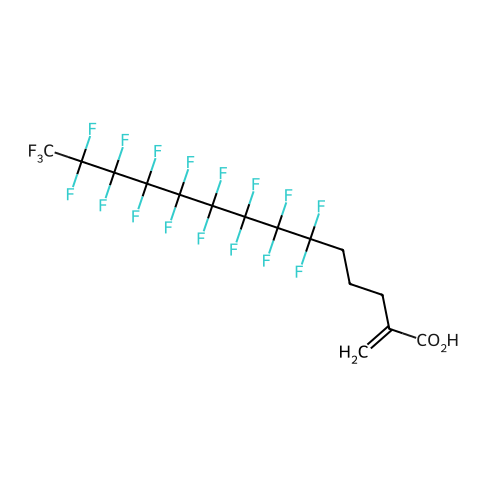 C=C(CCCC(F)(F)C(F)(F)C(F)(F)C(F)(F)C(F)(F)C(F)(F)C(F)(F)C(F)(F)C(F)(F)F)C(=O)O